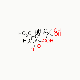 C=C(C)C(=O)O.CC(CO)(CO)CO.O=C1C=CC(=O)O1